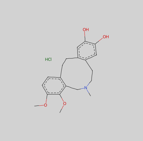 COc1ccc2c(c1OC)CN(C)CCc1cc(O)c(O)cc1CC2.Cl